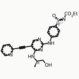 CCOC(=O)/N=[SH](=O)/c1ccc(Nc2ncc(C#Cc3ccccn3)c(N[C@H](C)CO)n2)cc1